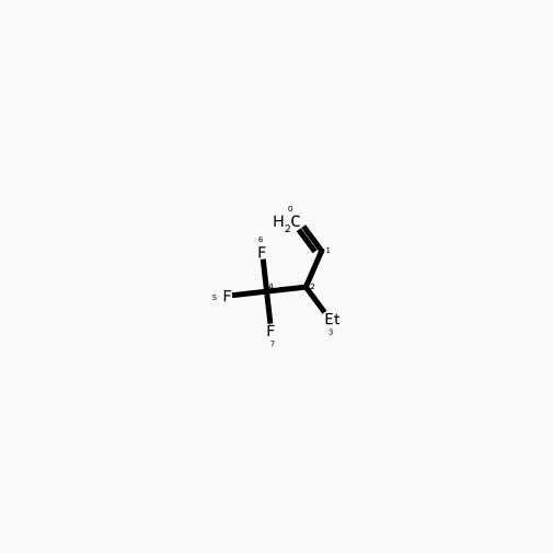 C=CC(CC)C(F)(F)F